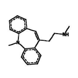 CNCCC1=Cc2ccccc2N(C)c2ccccc21